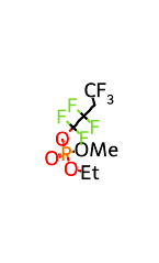 CCOP(=O)(OC)OC(F)(F)C(F)(F)CC(F)(F)F